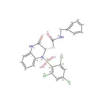 O=C(C[C@H]1C(=O)Nc2ccccc2N1S(=O)(=O)c1c(Cl)cc(Cl)cc1Cl)NCc1ccccc1